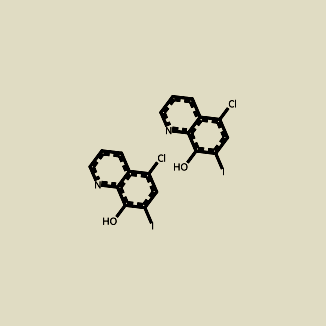 Oc1c(I)cc(Cl)c2cccnc12.Oc1c(I)cc(Cl)c2cccnc12